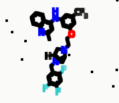 Cc1cc(Nc2cc(OCCN3C[C@@H]4CC3CN4Cc3cc(F)c(F)cc3F)cc(C(F)(F)F)c2)c2ccccc2n1